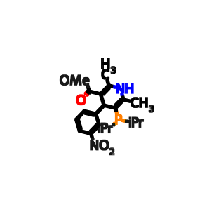 COC(=O)C1=C(C)NC(C)=C(P(C(C)C)C(C)C)C1c1cccc([N+](=O)[O-])c1